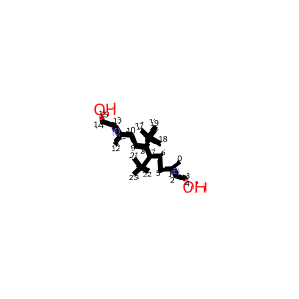 C/C(=C\CO)CCC(C(CC/C(C)=C/CO)C(C)(C)C)C(C)(C)C